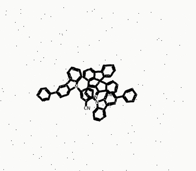 N#Cc1cc(-n2c3ccccc3c3cc(-c4ccccc4)ccc32)c(-c2cccc3c2C2(c4ccccc4-3)c3cccnc3-c3ncccc32)cc1-n1c2ccccc2c2cc(-c3ccccc3)ccc21